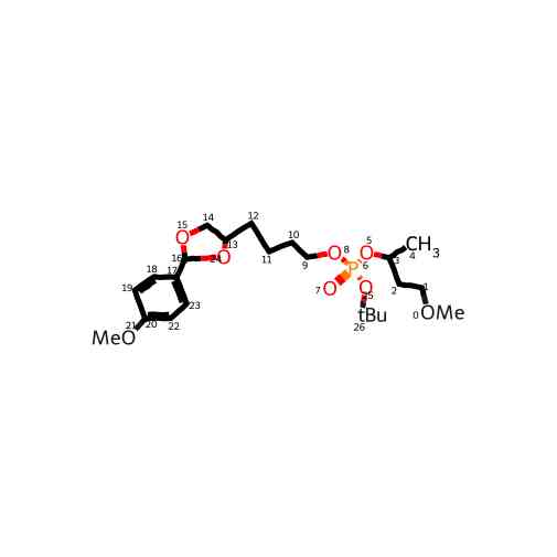 COCCC(C)OP(=O)(OCCCCC1COC(c2ccc(OC)cc2)O1)OC(C)(C)C